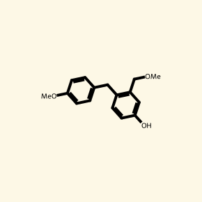 COCc1cc(O)ccc1Cc1ccc(OC)cc1